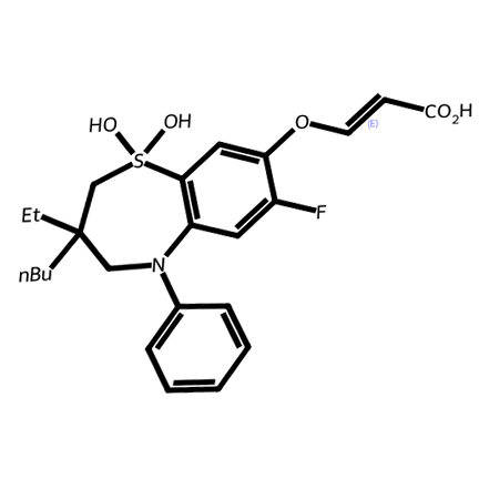 CCCCC1(CC)CN(c2ccccc2)c2cc(F)c(O/C=C/C(=O)O)cc2S(O)(O)C1